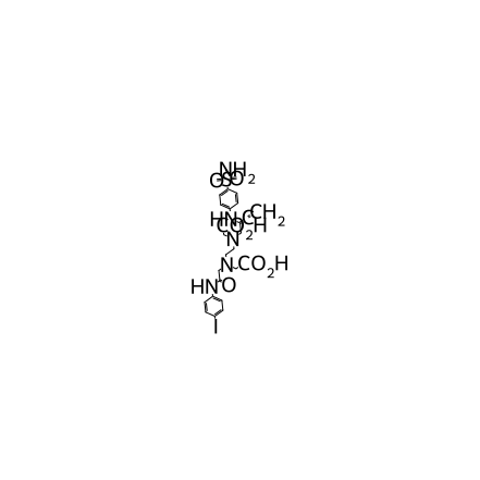 C=C=C(CN(CCN(CC(=O)O)CC(=O)Nc1ccc(I)cc1)CC(=O)O)Nc1ccc(S(N)(=O)=O)cc1